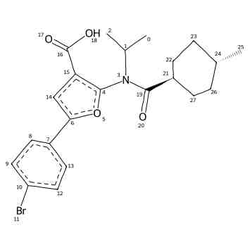 CC(C)N(c1oc(-c2ccc(Br)cc2)cc1C(=O)O)C(=O)[C@H]1CC[C@H](C)CC1